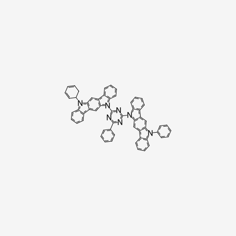 C1=CCC(n2c3ccccc3c3cc4c(cc32)c2ccccc2n4-c2nc(-c3ccccc3)nc(-n3c4ccccc4c4cc5c(cc43)c3ccccc3n5-c3ccccc3)n2)C=C1